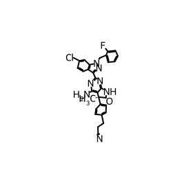 C[C@@]1(c2ccc(CCC#N)cc2)C(=O)Nc2nc(-c3nn(Cc4ccccc4F)c4cc(Cl)ccc34)nc(N)c21